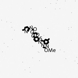 COc1cnc2c(-c3nc4ccc5c(c4s3)OC[C@@H](OC(=O)N(C)c3ccc(C)nc3)O5)cc(C)cc2n1